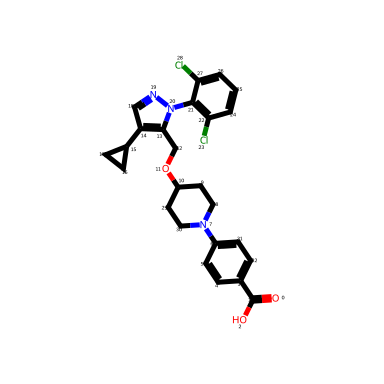 O=C(O)c1ccc(N2CCC(OCc3c(C4CC4)cnn3-c3c(Cl)cccc3Cl)CC2)cc1